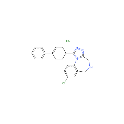 Cl.Clc1ccc2c(c1)CNCc1nnc(C3CC=C(c4ccccc4)CC3)n1-2